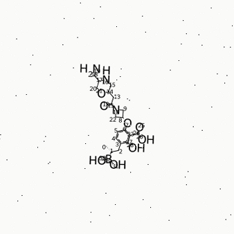 C[C@H](Cc1ccc(OC2CN(C(=O)CC3CNC(CN)CO3)C2)c(C(=O)O)c1O)B(O)O